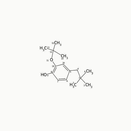 CC(C)(C)Cc1ccc(O)c(OC(C)(C)C)c1